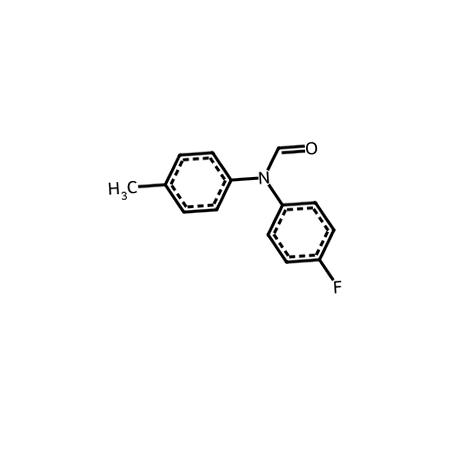 Cc1ccc(N(C=O)c2ccc(F)cc2)cc1